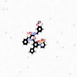 O=C(N[C@@H](Cc1ccccc1)[C@@H](O)CNCc1cccc(OC(F)(F)F)c1)c1cc(C2CCCC2)cc(N2CCCCS2(O)O)c1